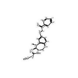 CN1C(=O)[C@@H](NC(=O)OC(C)(C)C)COc2ccc(OCC(=O)c3ccccn3)cc21